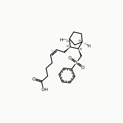 O=C(O)CCC/C=C\C[C@H]1[C@H]2CC[C@H](C2)[C@H]1CS(=O)(=O)c1ccccc1